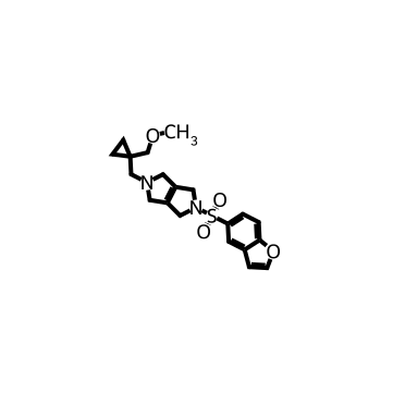 COCC1(CN2CC3=C(C2)CN(S(=O)(=O)c2ccc4occc4c2)C3)CC1